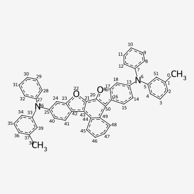 Cc1cccc(N(c2ccccc2)c2ccc3c(c2)oc2c4oc5cc(N(c6ccccc6)c6cccc(C)c6)ccc5c4c4ccccc4c32)c1